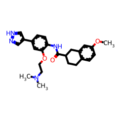 COc1ccc2c(c1)CC(C(=O)Nc1ccc(-c3cn[nH]c3)cc1OCCN(C)C)CC2